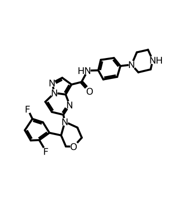 O=C(Nc1ccc(N2CCNCC2)cc1)c1cnn2ccc(N3CCOCC3c3cc(F)ccc3F)nc12